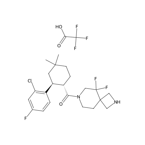 CC1(C)CC[C@H](C(=O)N2CCC3(CNC3)C(F)(F)C2)[C@@H](c2ccc(F)cc2Cl)C1.O=C(O)C(F)(F)F